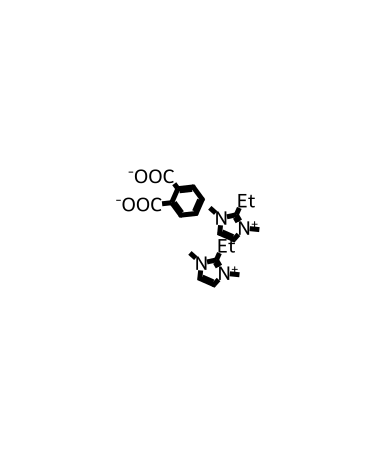 CCc1n(C)cc[n+]1C.CCc1n(C)cc[n+]1C.O=C([O-])c1ccccc1C(=O)[O-]